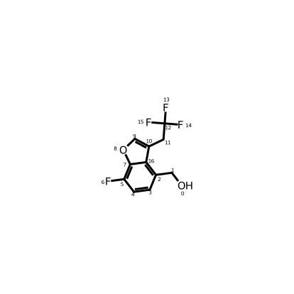 OCc1ccc(F)c2occ(CC(F)(F)F)c12